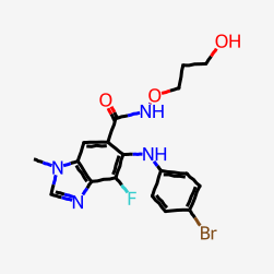 Cn1cnc2c(F)c(Nc3ccc(Br)cc3)c(C(=O)NOCCCO)cc21